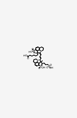 CC1(CCCCS(=O)(=O)O)C(/C=C/C=C2/N3CCCc4ccc(S(=O)(=O)O)c(c43)C2(C)CCCCCC(=O)O)=[N+]2CCCc3ccc(S(=O)(=O)O)c1c32